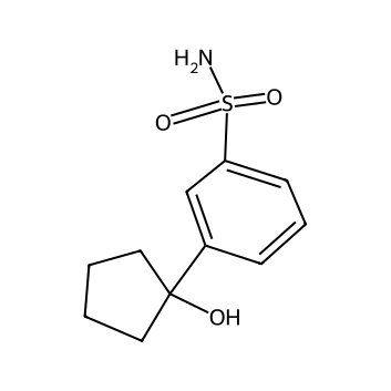 NS(=O)(=O)c1cccc(C2(O)CCCC2)c1